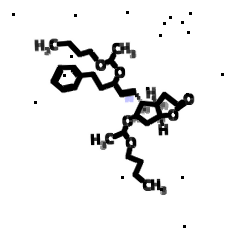 CCCCOC(C)OC(/C=C/[C@@H]1[C@H]2CC(=O)O[C@H]2C[C@H]1OC(C)OCCCC)CCc1ccccc1